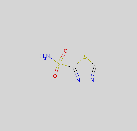 NS(=O)(=O)c1nncs1